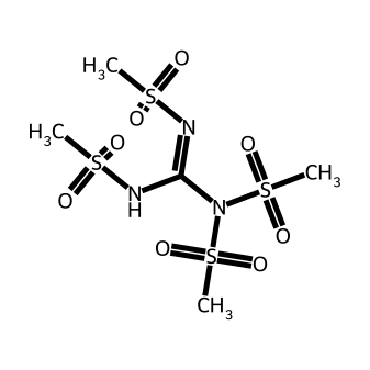 CS(=O)(=O)/N=C(\NS(C)(=O)=O)N(S(C)(=O)=O)S(C)(=O)=O